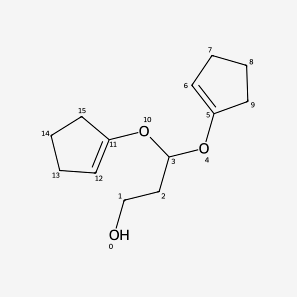 OCCC(OC1=CCCC1)OC1=CCCC1